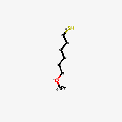 CCCOCCCCCCS